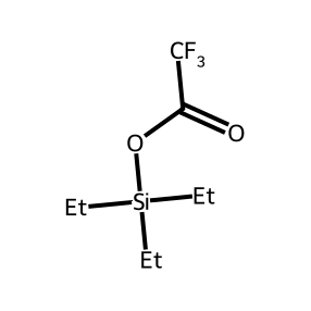 CC[Si](CC)(CC)OC(=O)C(F)(F)F